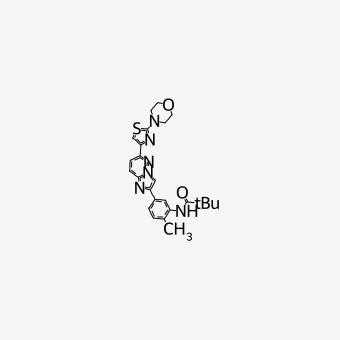 Cc1ccc(-c2cn3nc(-c4csc(N5CCOCC5)n4)ccc3n2)cc1NC(=O)C(C)(C)C